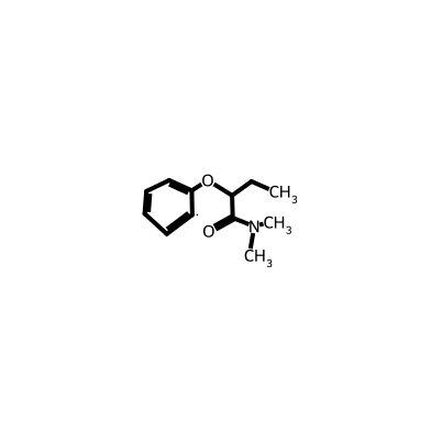 CCC(Oc1[c]cccc1)C(=O)N(C)C